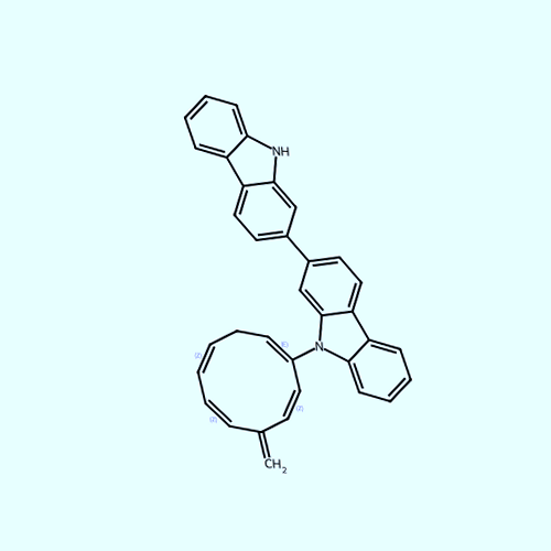 C=C1/C=C\C=C/C/C=C(n2c3ccccc3c3ccc(-c4ccc5c(c4)[nH]c4ccccc45)cc32)\C=C/1